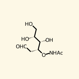 CC(=O)NO[C@H](CC=O)[C@@H](O)[C@H](O)CO